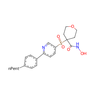 CCCCCc1ccc(-c2ccc(S(=O)(=O)C3(C(=O)NO)CCOCC3)cn2)cc1